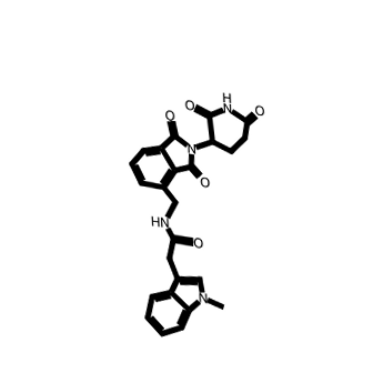 Cn1cc(CC(=O)NCc2cccc3c2C(=O)N(C2CCC(=O)NC2=O)C3=O)c2ccccc21